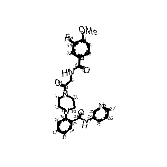 COc1ccc(C(=O)NCC(=O)N2CCN(c3ccccc3C(=O)Nc3cccnc3)CC2)cc1F